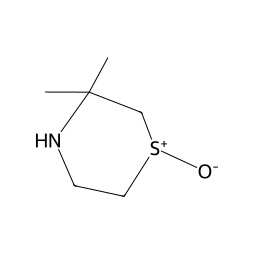 CC1(C)C[S+]([O-])CCN1